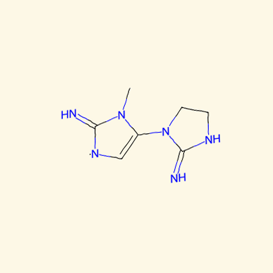 CN1C(=N)[N]C=C1N1CCNC1=N